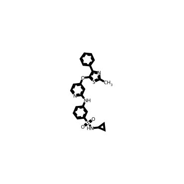 Cc1nc(-c2ccccc2)c(Oc2ccnc(Nc3cccc(S(=O)(=O)NC4CC4)c3)c2)s1